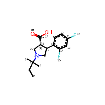 CCC(C)(C)N1CC(c2ccc(F)cc2F)[C@H](C(=O)O)C1